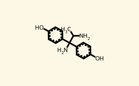 CC(N)C(N)(c1ccc(O)cc1)c1ccc(O)cc1